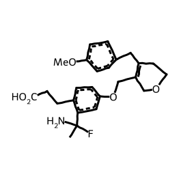 COc1ccc(CC2=C(COc3ccc(CCC(=O)O)c(C(C)(N)F)c3)COCC2)cc1